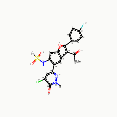 CCS(=O)(=O)Nc1cc2oc(-c3ccc(F)cc3)c(C(=O)NC)c2cc1-c1cc(Cl)c(=O)n(C)n1